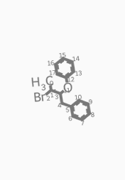 C[C](Br)C(Cc1ccccc1)Oc1ccccc1